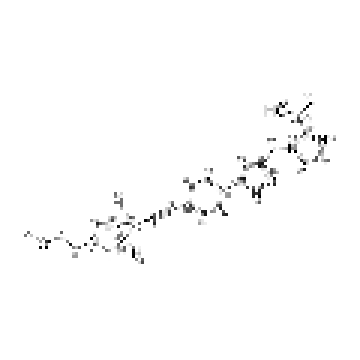 COCCN1C[C@@H]2[C@H](C#Cc3ccc(-c4cc(Cn5ccnc5[C@H](C)O)on4)cc3)[C@@H]2C1